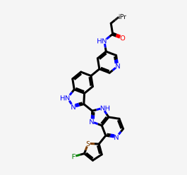 CC(C)CC(=O)Nc1cncc(-c2ccc3[nH]nc(-c4nc5c(-c6ccc(F)s6)nccc5[nH]4)c3c2)c1